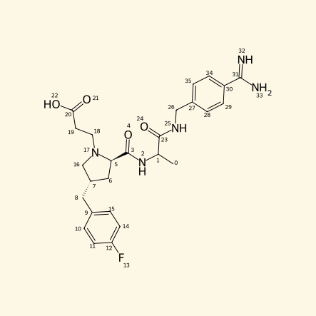 CC(NC(=O)[C@H]1C[C@H](Cc2ccc(F)cc2)CN1CCC(=O)O)C(=O)NCc1ccc(C(=N)N)cc1